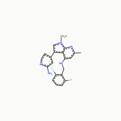 Cc1cc(NCc2c(F)cccc2F)c2c(-c3ccnc(N)c3)cn(C(=O)O)c2n1